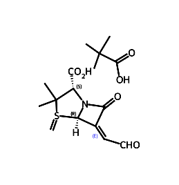 C=S1[C@@H]2/C(=C/C=O)C(=O)N2[C@@H](C(=O)O)C1(C)C.CC(C)(C)C(=O)O